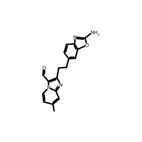 Cc1ccn2c(C=O)c(CCc3ccc4nc(N)oc4c3)nc2c1